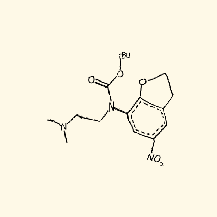 CN(C)CCN(C(=O)OC(C)(C)C)c1cc([N+](=O)[O-])cc2c1OCC2